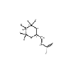 C=C(C)SOC1CC(C)(C)N(C)C(C)(C)C1